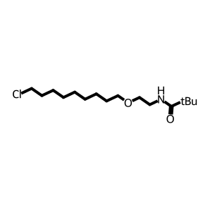 CC(C)(C)C(=O)NCCOCCCCCCCCCCl